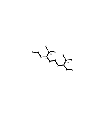 CCCC(CCCC(CC)N(C)C)N(C)C